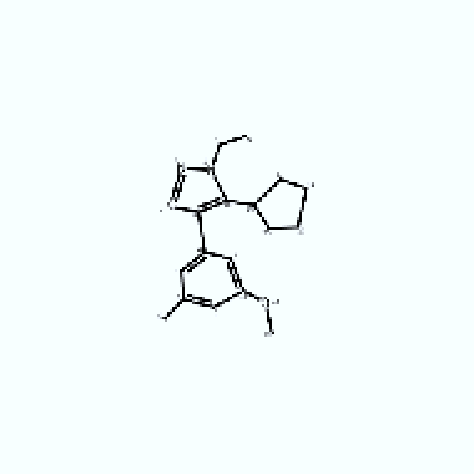 CCn1nnc(-c2cc(C)cc(OC)c2)c1C1CCCC1